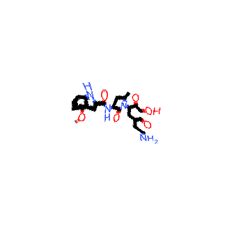 COc1cccc2[nH]c(C(=O)NC3CC(C)N(C(CC(C=O)CCN)C(=O)CO)C3=O)cc12